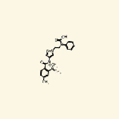 Cc1ccc(C(=O)Nc2cnn(CCN(C(=O)O)c3ccccc3)c2)c(N(C)C)c1